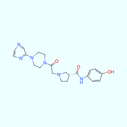 O=C(Nc1ccc(O)cc1)[C@@H]1CCN(CC(=O)N2CCN(c3cnccn3)CC2)C1